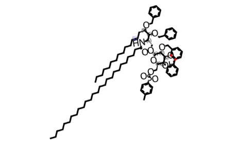 CCCCCCCCCCC/C=C/C[C@@H](OCc1ccccc1)[C@@H](OCc1ccccc1)[C@H](CO[C@H]1O[C@H](COS(=O)(=O)c2ccc(C)cc2)[C@H](O)[C@H](OCc2ccccc2)[C@H]1OCc1ccccc1)NC(=O)CCCCCCCCCCCCCCCCCCCCCCCCC